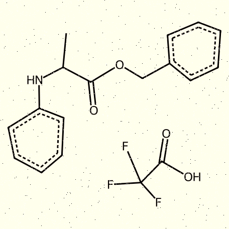 CC(Nc1ccccc1)C(=O)OCc1ccccc1.O=C(O)C(F)(F)F